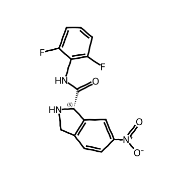 O=C(Nc1c(F)cccc1F)[C@H]1NCc2ccc([N+](=O)[O-])cc21